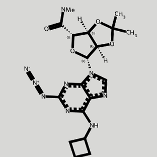 CNC(=O)[C@H]1O[C@@H](n2cnc3c(NC4CCC4)nc(N=[N+]=[N-])nc32)[C@@H]2OC(C)(C)O[C@@H]21